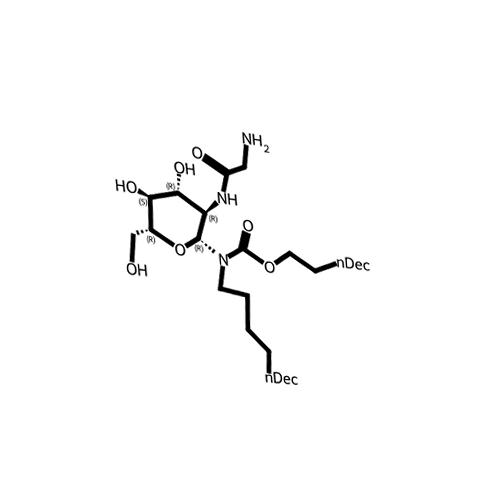 CCCCCCCCCCCCCCN(C(=O)OCCCCCCCCCCCC)[C@@H]1O[C@H](CO)[C@@H](O)[C@H](O)[C@H]1NC(=O)CN